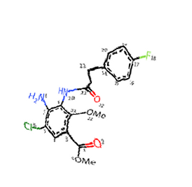 COC(=O)c1cc(Cl)c(N)c(NC(=O)Cc2ccc(F)cc2)c1OC